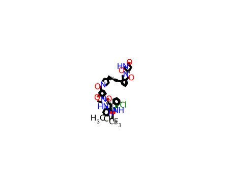 CC1(C)CCC2(CC1)N[C@@H](C(=O)N1CCOc3cc(C(=O)N4CCC5(CC4)C[C@H]5C#Cc4cccc5c4CN([C@H]4CCC(=O)NC4=O)C5=O)ccc31)[C@H](c1cccc(Cl)c1F)[C@]21CNc2cc(C(F)(F)F)ncc21